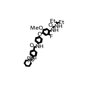 CCCC[N+]1(Oc2ccc(C(=O)Nc3ccc(Oc4cc(F)c(NC(=O)NC(CC)CC)cc4OC)cc3)cc2)CCCCC1